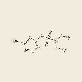 N#CCN(CC#N)S(=O)(=O)Cc1cccc([N+](=O)[O-])c1